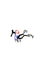 C=C(C)C(=O)NC(CC)(CCC(C)C)CCC(C)C